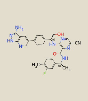 Cc1ccc([C@H](C)NC(=O)c2nc(C#N)cnc2N[C@H](CO)c2ccc(-c3cnc4[nH]nc(N)c4c3)cc2)cc1F